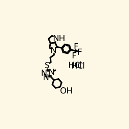 Cl.Cl.Cn1c(SCCCN2CC3CCNC3C2c2ccc(C(F)(F)F)cc2)nnc1C1CCC(O)CC1